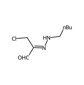 CCCCCNN=C(C=O)CCl